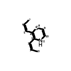 C/C=C\C1=C(/C=C\C)SC=CN1